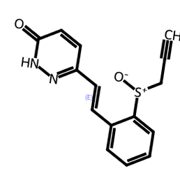 C#CC[S+]([O-])c1ccccc1/C=C/c1ccc(=O)[nH]n1